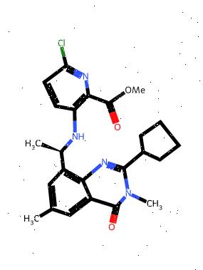 COC(=O)c1nc(Cl)ccc1N[C@H](C)c1cc(C)cc2c(=O)n(C)c(C3CCCC3)nc12